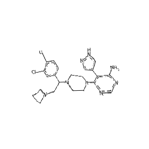 Nc1ncnc(N2CCN(C(CN3CCC3)c3ccc(Cl)c(Cl)c3)CC2)c1-c1cn[nH]c1